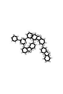 c1ccc(-c2nc(-c3ccccc3)nc(-c3cccc4oc5ccc(-c6cccc7oc8ccc(-c9ccc%10c(c9)oc9ccccc9%10)cc8c67)cc5c34)n2)cc1